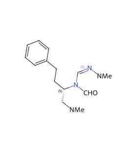 CNC[C@H](CCc1ccccc1)N(C=O)/C=N\NC